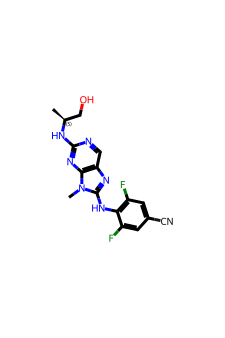 C[C@@H](CO)Nc1ncc2nc(Nc3c(F)cc(C#N)cc3F)n(C)c2n1